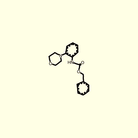 O=C(Nc1ccccc1N1CCOCC1)OCc1ccccc1